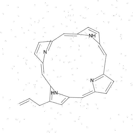 C=CCc1cc2cc3nc(cc4ccc(cc5nc(cc1[nH]2)C=C5)[nH]4)C=C3